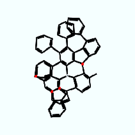 Cc1ccc(-c2ccccc2)c(N(c2c(C)c(C)cc3c2Cc2ccccc2-3)c2c3c(c(-c4ccccc4)c(-c4ccccc4)c2-c2ccccc2)-c2c(cccc2-c2ccccc2)C3)c1C